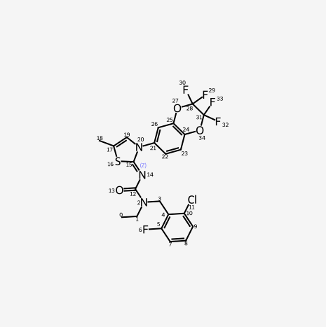 CCN(Cc1c(F)cccc1Cl)C(=O)/N=c1\sc(C)cn1-c1ccc2c(c1)OC(F)(F)C(F)(F)O2